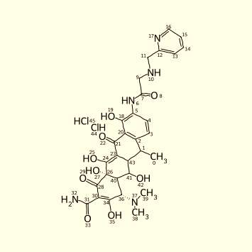 CC1c2ccc(NC(=O)CNCc3ccccn3)c(O)c2C(=O)C2=C(O)[C@]3(O)C(=O)C(C(N)=O)=C(O)[C@@H](N(C)C)C3C(O)C21.Cl.Cl